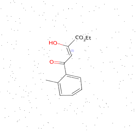 CCOC(=O)/C(O)=C/C(=O)c1ccccc1C